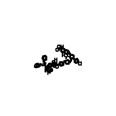 CC1(CN2CCC3(CC2)CCN(C(=O)O)CC3)CCC(c2ccc(Cl)cc2)=C(CN2CCN(c3ccc(C(=O)NS(=O)(=O)c4ccc(NC(CCN5CCOCC5)CSc5ccccc5)c(S(=O)(=O)C(F)(F)F)c4)cc3)CC2)C1